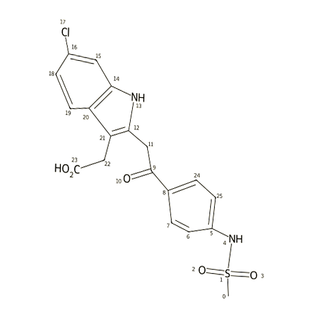 CS(=O)(=O)Nc1ccc(C(=O)Cc2[nH]c3cc(Cl)ccc3c2CC(=O)O)cc1